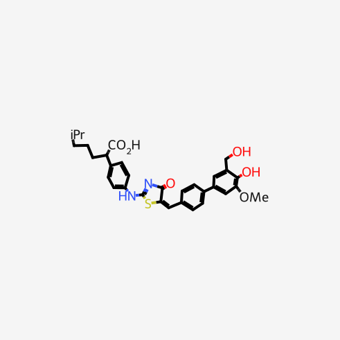 COc1cc(-c2ccc(/C=C3/SC(Nc4ccc(C(CCCC(C)C)C(=O)O)cc4)=NC3=O)cc2)cc(CO)c1O